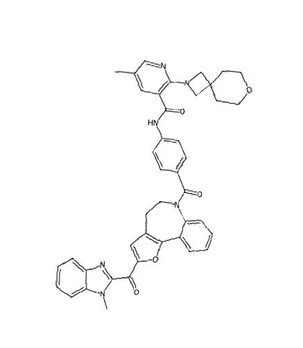 Cc1cnc(N2CC3(CCOCC3)C2)c(C(=O)Nc2ccc(C(=O)N3CCc4cc(C(=O)c5nc6ccccc6n5C)oc4-c4ccccc43)cc2)c1